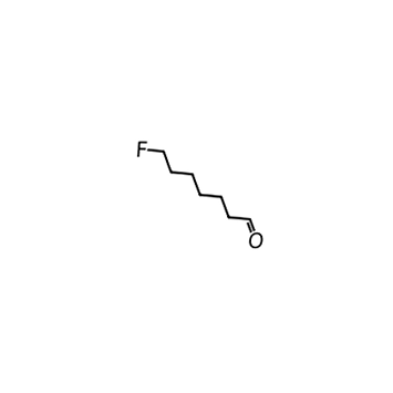 O=CCCCCCCF